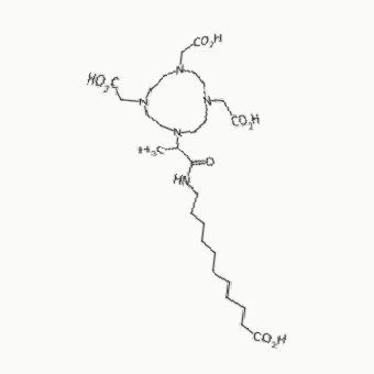 CC(C(=O)NCCCCCCCCCCC(=O)O)N1CCN(CC(=O)O)CCN(CC(=O)O)CCN(CC(=O)O)CC1